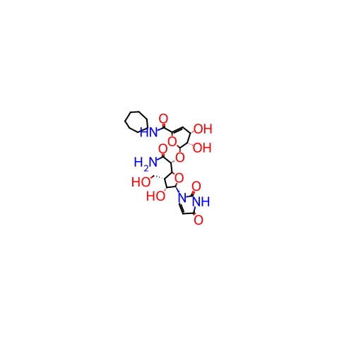 NC(=O)[C@H](O[C@H]1OC(C(=O)NC2CCCCCC2)=C[C@H](O)[C@@H]1O)[C@H]1O[C@@H](n2ccc(=O)[nH]c2=O)[C@H](O)[C@@H]1CO